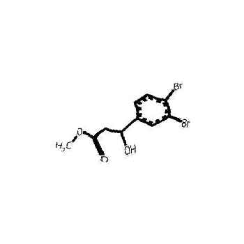 COC(=O)CC(O)c1ccc(Br)c(Br)c1